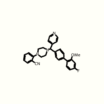 COc1cc(F)ccc1-c1ccc(C(c2ccncc2)N2CCN(c3ccccc3C#N)CC2)cc1